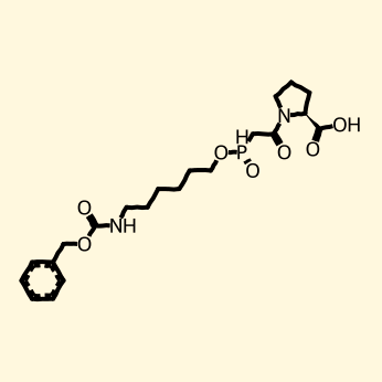 O=C(NCCCCCCO[PH](=O)CC(=O)N1CCC[C@H]1C(=O)O)OCc1ccccc1